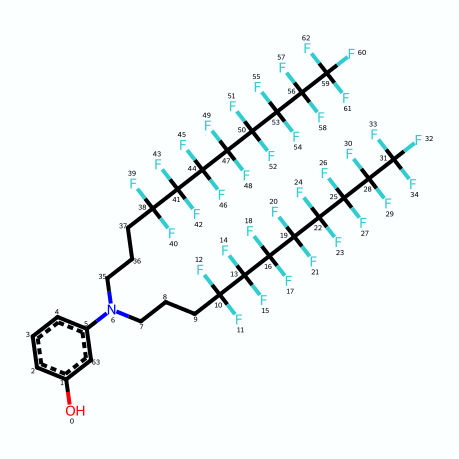 Oc1cccc(N(CCCC(F)(F)C(F)(F)C(F)(F)C(F)(F)C(F)(F)C(F)(F)C(F)(F)C(F)(F)F)CCCC(F)(F)C(F)(F)C(F)(F)C(F)(F)C(F)(F)C(F)(F)C(F)(F)C(F)(F)F)c1